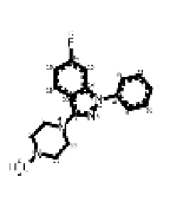 CN1CCN(c2nn(-c3ccccc3)c3cc(F)ccc23)CC1